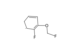 FCOC1=C(F)[CH]CC=C1